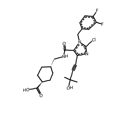 CC(C)(O)C#Cc1nc(Cl)n(Cc2ccc(F)c(F)c2)c1C(=O)NC[C@H]1CC[C@H](C(=O)O)CC1